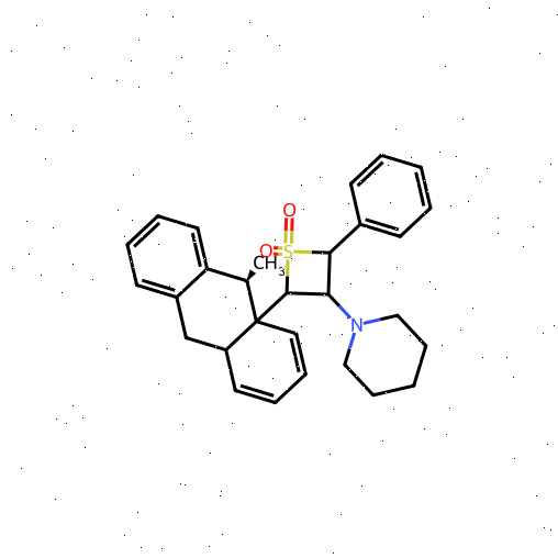 C[C@@H]1c2ccccc2CC2C=CC=CC21C1C(N2CCCCC2)C(c2ccccc2)S1(=O)=O